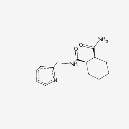 NC(=O)[C@H]1CCCC[C@H]1C(=O)NCc1ccccn1